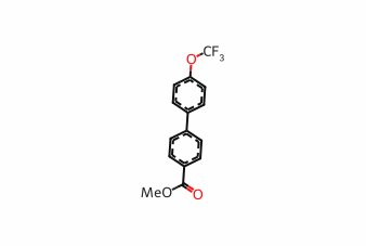 COC(=O)c1ccc(-c2ccc(OC(F)(F)F)cc2)cc1